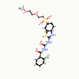 COCCOCCS(=O)(=O)c1ccc2nc(NC(=O)NC(=O)c3ccccc3Cl)sc2c1